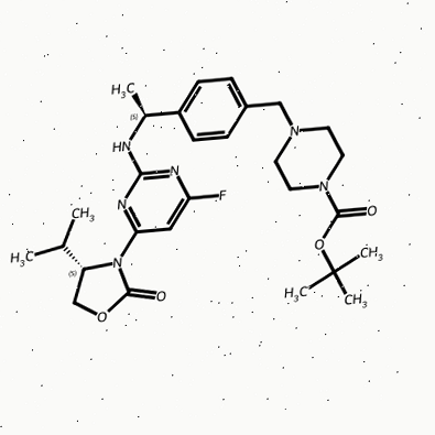 CC(C)[C@H]1COC(=O)N1c1cc(F)nc(N[C@@H](C)c2ccc(CN3CCN(C(=O)OC(C)(C)C)CC3)cc2)n1